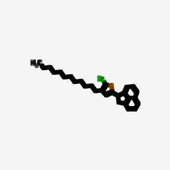 CCCCCCCCCCCCc1cc(C2Cc3cccc4cccc2c34)sc1Br